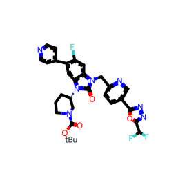 CC(C)(C)OC(=O)N1CCC[C@H](n2c(=O)n(Cc3ccc(-c4nnc(C(F)F)o4)cn3)c3cc(F)c(-c4ccncc4)cc32)C1